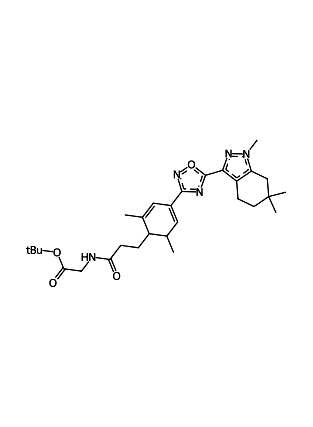 CC1=CC(c2noc(-c3nn(C)c4c3CCC(C)(C)C4)n2)=CC(C)C1CCC(=O)NCC(=O)OC(C)(C)C